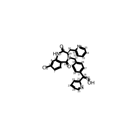 O=C1Nc2cc(Cl)ccc2C(=O)N(Cc2ccc(/C(=N/O)c3ccccn3)cc2)[C@@H]1Cc1ccccn1